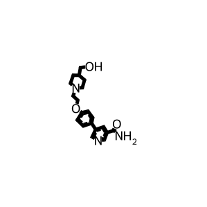 NC(=O)c1cncc(-c2ccc(OCCN3CCC(CO)CC3)cc2)c1